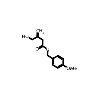 C=C(CO)CC(=O)OCc1ccc(OC)cc1